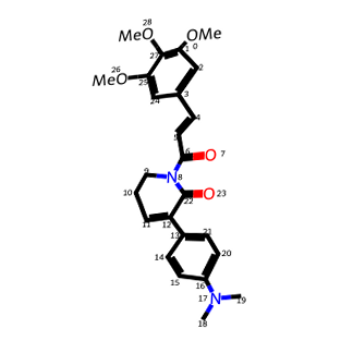 COc1cc(/C=C/C(=O)N2CCC=C(c3ccc(N(C)C)cc3)C2=O)cc(OC)c1OC